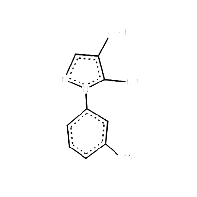 CCOC(=O)c1cnn(-c2cccc(SC)c2)c1N